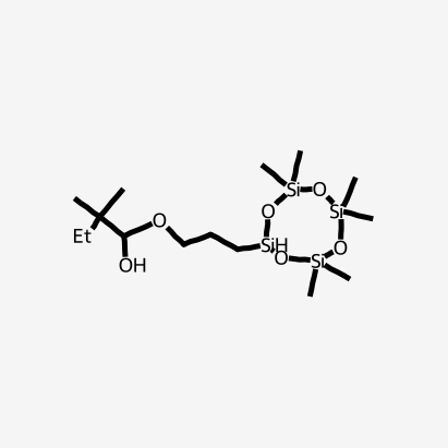 CCC(C)(C)C(O)OCCC[SiH]1O[Si](C)(C)O[Si](C)(C)O[Si](C)(C)O1